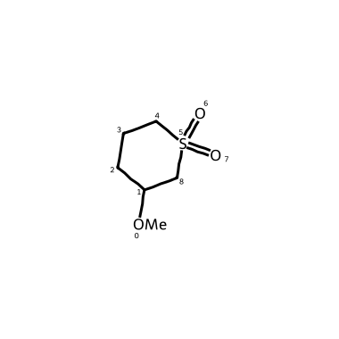 COC1CCCS(=O)(=O)C1